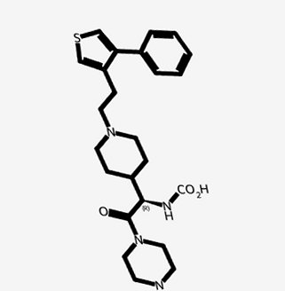 O=C(O)N[C@@H](C(=O)N1CCNCC1)C1CCN(CCc2cscc2-c2ccccc2)CC1